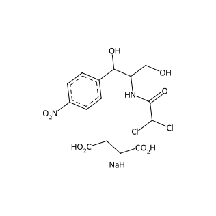 O=C(NC(CO)C(O)c1ccc([N+](=O)[O-])cc1)C(Cl)Cl.O=C(O)CCC(=O)O.[NaH]